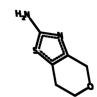 Nc1nc2c(s1)CCOC2